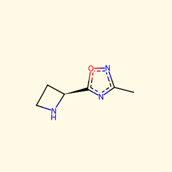 Cc1noc([C@@H]2CCN2)n1